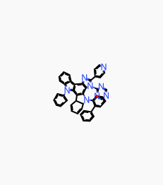 C1=CC2c3c(c4c(nc(-c5ccncc5)n4-c4ncncn4)c4c5ccccc5n(-c5ccccc5)c34)N(c3ccccc3-c3ccccc3)C2C=C1